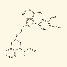 C=CC(=O)N1CC(SCCn2nc(-c3ccc(OC)c(OC)c3)c3c(N)ncnc32)Cc2ccccc21